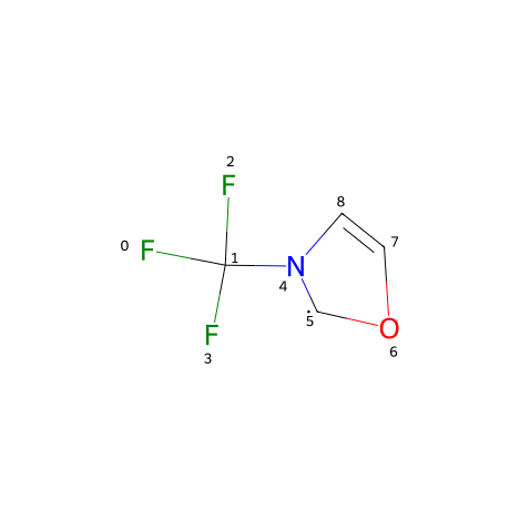 FC(F)(F)N1[CH]OC=C1